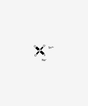 O=S([O-])([O-])=S.[Na+].[Sn+4]